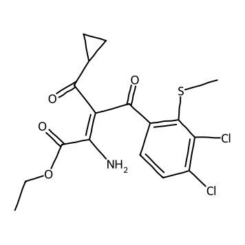 CCOC(=O)C(N)=C(C(=O)c1ccc(Cl)c(Cl)c1SC)C(=O)C1CC1